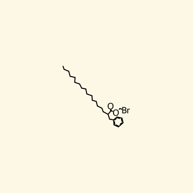 CCCCCCCCCCCCCCCCC(Cc1ccccc1)C(=O)OCBr